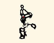 CC1(C)c2ccccc2-c2ccc(-c3nc(-c4ccccc4)nc(-c4ccc5c(c4)C46c7ccccc7-c7cccc(c74)CC4c7ccccc7-c7ccc-5c6c74)n3)cc21